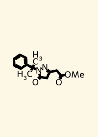 COC(=O)CC1=NN(C(C)(C)c2ccccc2)C(=O)C1